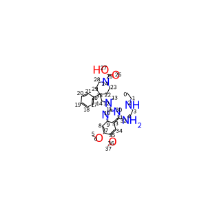 CCNCC.COc1cc2nc(N(C)CC3(c4ccccc4)CCN(C(=O)O)CC3)nc(N)c2cc1OC